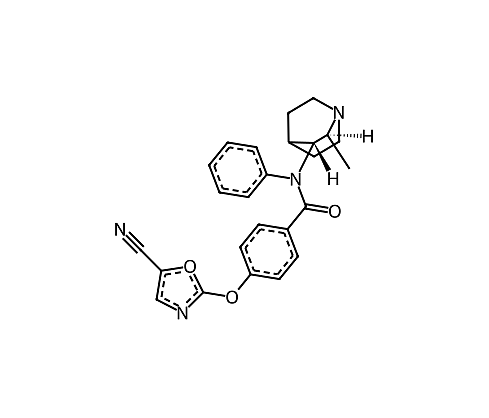 C[C@H]1[C@H](N(C(=O)c2ccc(Oc3ncc(C#N)o3)cc2)c2ccccc2)C2CCN1CC2